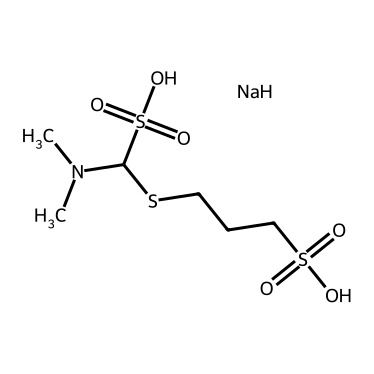 CN(C)C(SCCCS(=O)(=O)O)S(=O)(=O)O.[NaH]